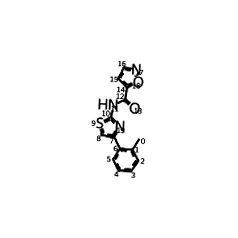 Cc1ccccc1-c1csc(NC(=O)c2ccno2)n1